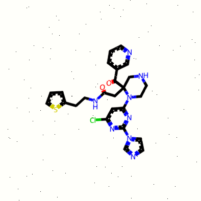 O=C(CC1(C(=O)c2cccnc2)CNCCN1c1cc(Cl)nc(-n2ccnc2)n1)NCCc1cccs1